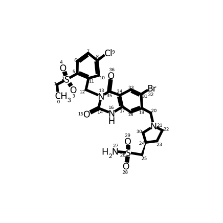 CCS(=O)(=O)c1ccc(Cl)cc1Cn1c(=O)[nH]c2cc(CN3CC[C@@H](CS(N)(=O)=O)C3)c(Br)cc2c1=O